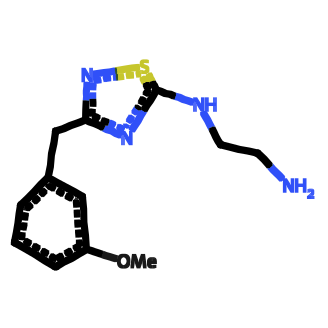 COc1cccc(Cc2nsc(NCCN)n2)c1